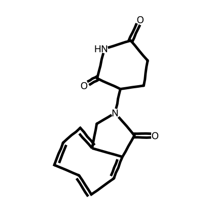 O=C1CCC(N2CC3=C\C=C/C=C/C=C\3C2=O)C(=O)N1